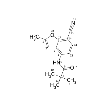 Cc1cc2c(NC(=O)C(C)(C)C)ccc(C#N)c2o1